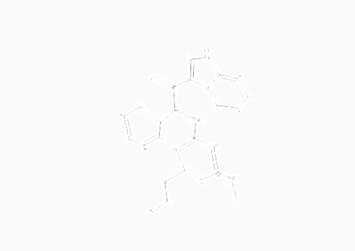 C=C(c1c[nH]c2c1=CCCC=2)C(Nc1cc(CCC)cc(NC)c1)c1ccccc1